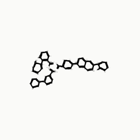 c1ccc(-c2cccc(-c3nc(-c4ccc(-c5ccc6cc7c(cc6c5)oc5ccccc57)cc4)nc(-c4cccc5oc6ccccc6c45)n3)c2)cc1